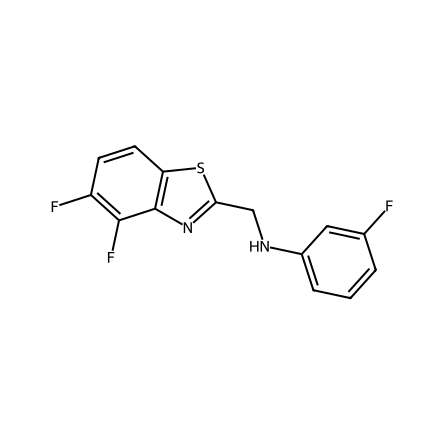 Fc1cccc(NCc2nc3c(F)c(F)ccc3s2)c1